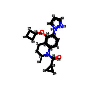 C[C@H]1CCc2c(ccc(-n3cccn3)c2OC2CCC2)N1C(=O)C1CC1